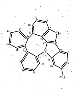 Clc1ccc2c3oc4cccc5c6ccccc6c6ccccc6n(c2c1)c3c45